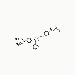 CCN(CC)c1ccc(C=CC2=NN(c3ccccn3)C(c3ccc(N(CC)CC)cc3)C2)cc1